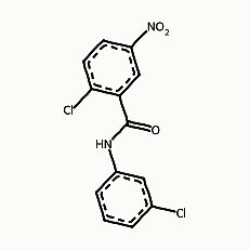 O=C(Nc1cccc(Cl)c1)c1cc([N+](=O)[O-])ccc1Cl